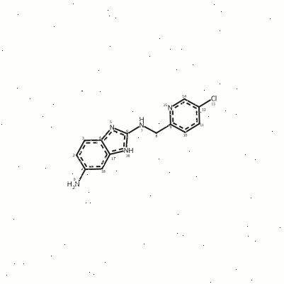 Nc1ccc2nc(NCc3ccc(Cl)cn3)[nH]c2c1